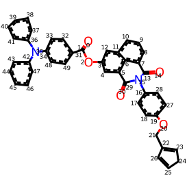 O=C(Oc1cc2c3c(cccc3c1)C(=O)N(c1ccc(OCC3=CCC=C3)cc1)C2=O)c1ccc(N(c2ccccc2)c2ccccc2)cc1